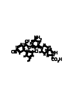 Cc1cc(Cl)cc(-c2cc(Cl)ccc2[C@@H](Oc2cc(N3CCC4(CC3)CN[C@H](C(=O)O)C4)nc(N)n2)C(F)(F)F)c1